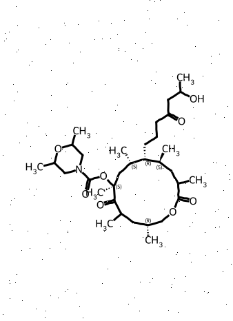 CC(O)CC(=O)CCC[C@@H]1[C@@H](C)CC(C)C(=O)OC[C@H](C)CC(C)C(=O)[C@@](C)(OC(=O)N2CC(C)OC(C)C2)C[C@@H]1C